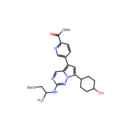 COCC(C)Nc1ncc2c(-c3ccc(C(=O)OC)nc3)cc(C3CCC(O)CC3)n2n1